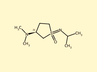 CC(C)N=S1(=O)CC[C@H](N(C)C)C1